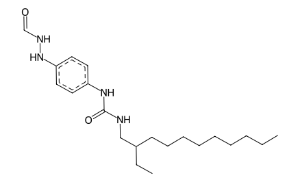 CCCCCCCCCC(CC)CNC(=O)Nc1ccc(NNC=O)cc1